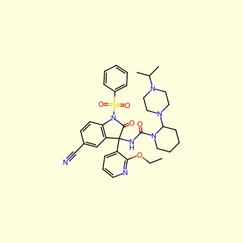 CCOc1ncccc1C1(NC(=O)N2CCCCC2N2CCN(C(C)C)CC2)C(=O)N(S(=O)(=O)c2ccccc2)c2ccc(C#N)cc21